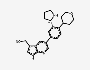 N#CCc1c[nH]c2ncc(-c3ccc(C4CCOCC4)c([C@@H]4CCCN4)c3)cc12